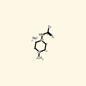 CN1CCN(NC(=S)[S-])CC1.[Na+]